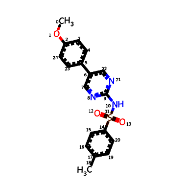 COc1ccc(-c2cnc(NS(=O)(=O)c3ccc(C)cc3)nc2)cc1